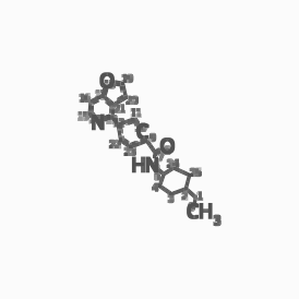 CCC1CCC(NC(=O)c2ccc(-c3nccc4occc34)cc2)CC1